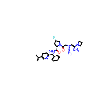 CC(C)c1ccc([C@@H](NC(=O)[C@@H]2C[C@@H](F)CN2C(=O)CN(N)/C=C(\N)N2CCC2)c2ccccc2)nc1